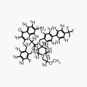 [2H]c1c([2H])c(F)c(F)c(CSc2c([2H])c(=O)c3c([2H])c([2H])c([2H])c([2H])c3n2C([2H])([2H])C(=O)N(Cc2c([2H])c([2H])c(-c3c([2H])c([2H])c(C(F)(F)F)c([2H])c3[2H])c([2H])c2C)C2([2H])C([2H])([2H])C([2H])([2H])N(CC([2H])([2H])OC)C([2H])([2H])C2([2H])[2H])c1[2H]